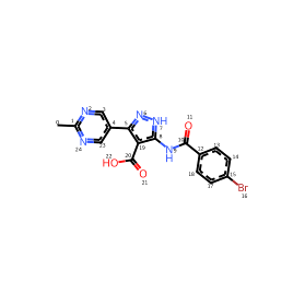 Cc1ncc(-c2n[nH]c(NC(=O)c3ccc(Br)cc3)c2C(=O)O)cn1